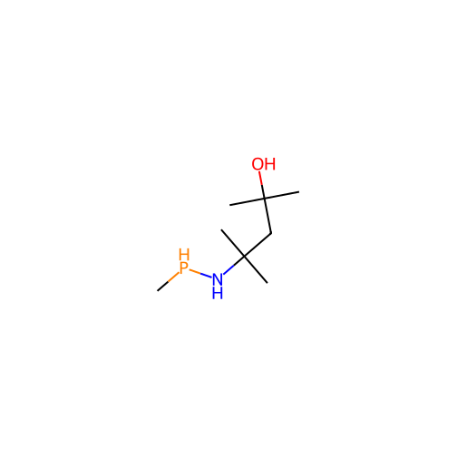 CPNC(C)(C)CC(C)(C)O